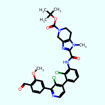 COc1cc(-c2nccc(-c3cccc(NC(=O)c4nc5c(n4C)CCN(C(=O)OC(C)(C)C)C5)c3Cl)c2Cl)ccc1C=O